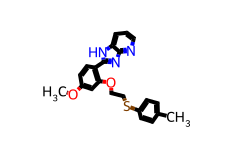 COc1ccc(-c2nc3ncccc3[nH]2)c(OCCSc2ccc(C)cc2)c1